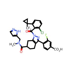 CN(Cc1ccn[nH]1)C(=O)C1CCc2c(-c3ccc(C(=O)O)cc3F)nn(C(=O)c3c(Cl)cccc3C3(C(F)(F)F)CC3)c2C1